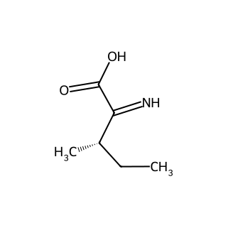 CC[C@H](C)C(=N)C(=O)O